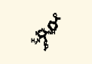 CO/N=C/c1c(N)ncnc1Nc1ccc(C(C)=O)cc1